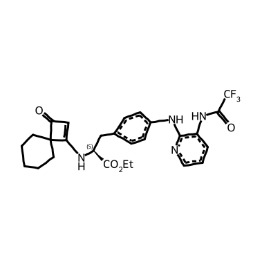 CCOC(=O)[C@H](Cc1ccc(Nc2ncccc2NC(=O)C(F)(F)F)cc1)NC1=CC(=O)C12CCCCC2